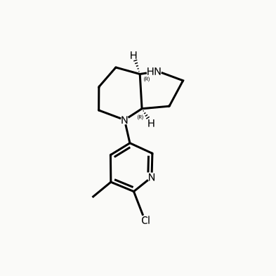 Cc1cc(N2CCC[C@H]3NCC[C@H]32)cnc1Cl